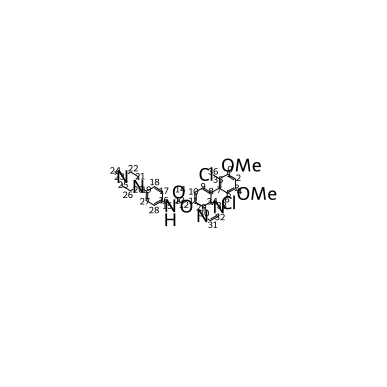 COc1cc(OC)c(Cl)c(-c2ccc(OC(=O)Nc3ccc(N4CCN(C)CC4)cc3)c3nccnc23)c1Cl